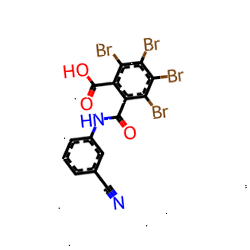 N#Cc1cccc(NC(=O)c2c(Br)c(Br)c(Br)c(Br)c2C(=O)O)c1